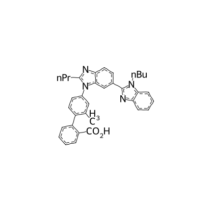 CCCCn1c(-c2ccc3nc(CCC)n(-c4ccc(-c5ccccc5C(=O)O)c(C)c4)c3c2)nc2ccccc21